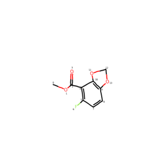 COC(=O)c1c(F)ccc2c1OCO2